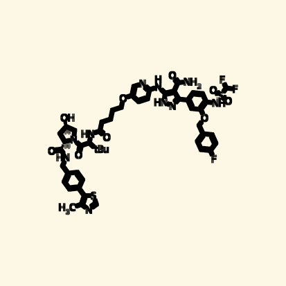 Cc1ncsc1-c1ccc(CNC(=O)[C@@H]2C[C@@H](O)CN2C(=O)C(NC(=O)CCCCOc2ccc(Nc3[nH]nc(-c4ccc(NS(=O)(=O)C(F)F)c(OCc5ccc(F)cc5)c4)c3C(N)=O)nc2)C(C)(C)C)cc1